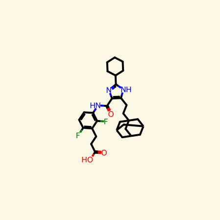 O=C(O)CCc1c(F)ccc(NC(=O)c2nc(C3CCCCC3)[nH]c2CCC23CC4CC(CC(C4)C2)C3)c1F